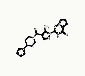 Cc1c(C(=O)N2CCC(n3cccc3)CC2)cnn1-c1nn2cccc2c(=O)[nH]1